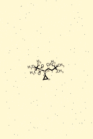 C[C@H](CC(C)(C)C)N(C1CC1)S(=O)(=O)C(C)(C)C